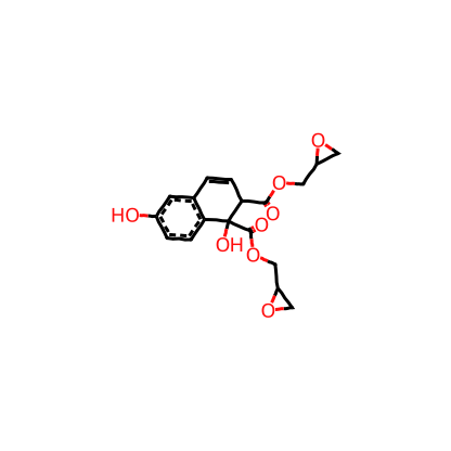 O=C(OCC1CO1)C1C=Cc2cc(O)ccc2C1(O)C(=O)OCC1CO1